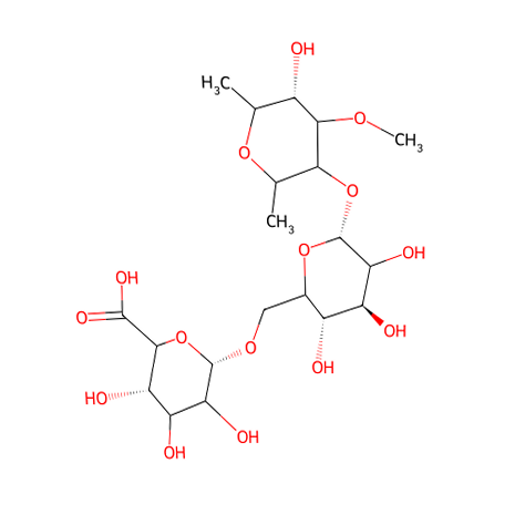 COC1C(O[C@H]2OC(CO[C@H]3OC(C(=O)O)[C@@H](O)C(O)C3O)[C@@H](O)[C@H](O)C2O)C(C)OC(C)[C@@H]1O